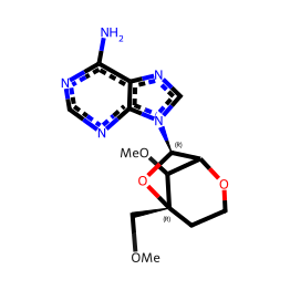 COC[C@]12CCOC(C1OC)[C@H](n1cnc3c(N)ncnc31)O2